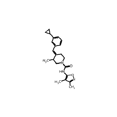 Cc1noc(NC(=O)N2CC/C(=C\c3cccc(C4CC4)c3)C(C)C2)c1C